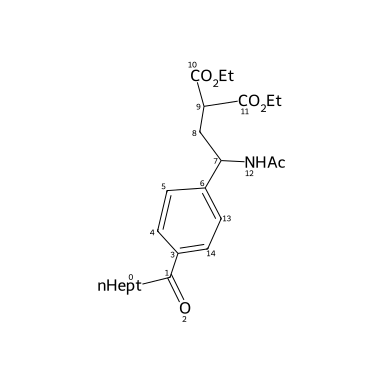 CCCCCCCC(=O)c1ccc(C(CC(C(=O)OCC)C(=O)OCC)NC(C)=O)cc1